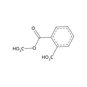 O=C(O)OC(=O)c1ccccc1C(=O)O